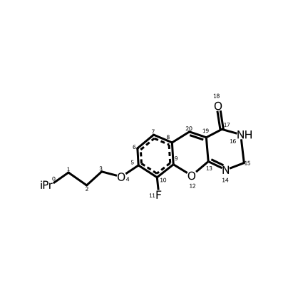 CC(C)CCCOc1ccc2c(c1F)OC1=NCNC(=O)C1=C2